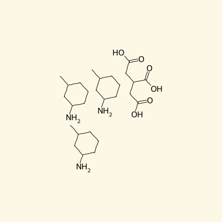 CC1CCCC(N)C1.CC1CCCC(N)C1.CC1CCCC(N)C1.O=C(O)CC(CC(=O)O)C(=O)O